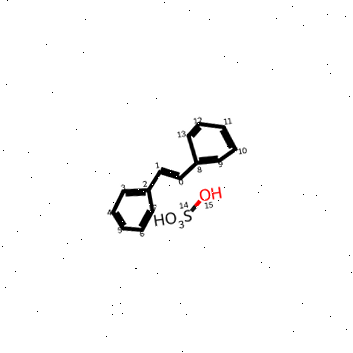 C(=Cc1ccccc1)c1ccccc1.O=S(=O)(O)O